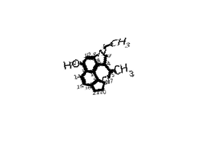 CCN1CC(C(C)Cl)c2c1cc(O)c1ccc3c(c21)CCC3